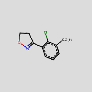 O=C(O)c1cccc(C2=NOCC2)c1Cl